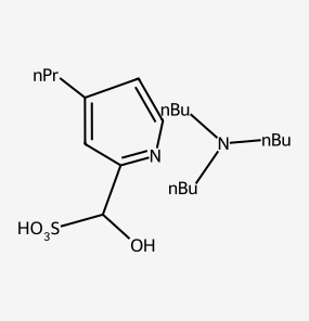 CCCCN(CCCC)CCCC.CCCc1ccnc(C(O)S(=O)(=O)O)c1